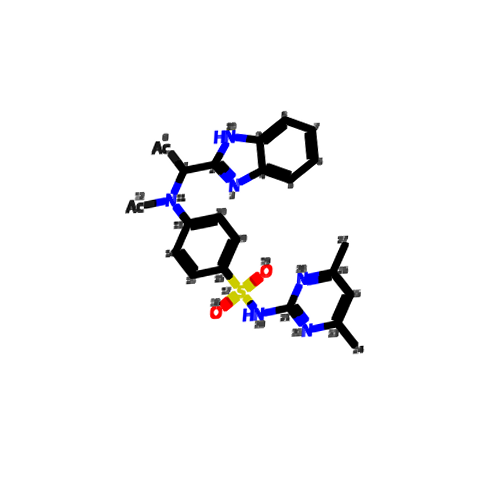 CC(=O)C(c1nc2ccccc2[nH]1)N(C(C)=O)c1ccc(S(=O)(=O)Nc2nc(C)cc(C)n2)cc1